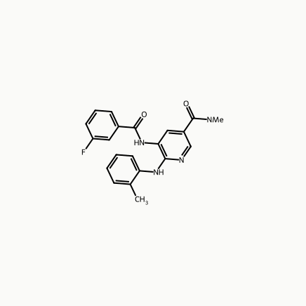 CNC(=O)c1cnc(Nc2ccccc2C)c(NC(=O)c2cccc(F)c2)c1